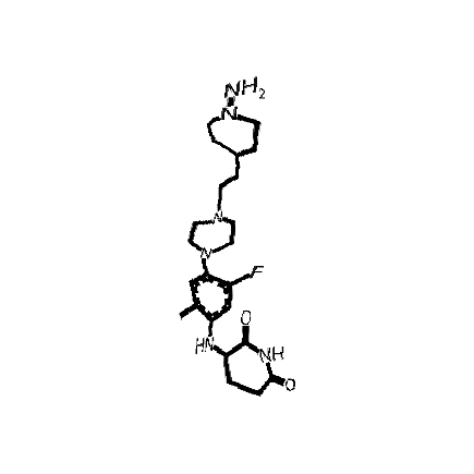 Cc1cc(N2CCN(CCC3CCN(N)CC3)CC2)c(F)cc1NC1CCC(=O)NC1=O